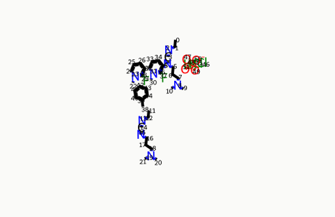 CCN=C=NCCCN(C)C.CCN=C=NCCCN(C)C.C[n+]1ccccc1F.C[n+]1ccccc1F.Cc1ccccc1.Cl.Cl.O=S(=O)([O-])[O-]